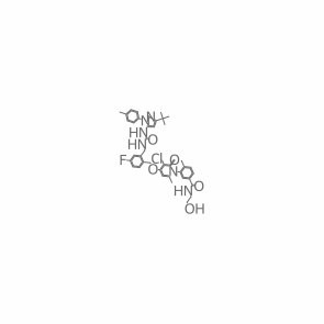 Cc1ccc(-n2nc(C(C)(C)C)cc2NC(=O)NCc2cc(F)ccc2COc2cc(C)n(-c3cc(C(=O)NCCO)ccc3C)c(=O)c2Cl)cc1